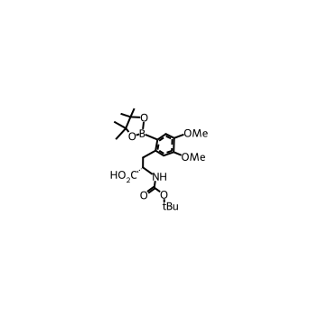 COc1cc(C[C@H](NC(=O)OC(C)(C)C)C(=O)O)c(B2OC(C)(C)C(C)(C)O2)cc1OC